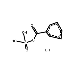 O=C(OP(=O)(O)O)c1ccccc1.[LiH]